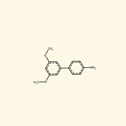 COc1cc(OC)cc(-c2c[c]c(N)cc2)c1